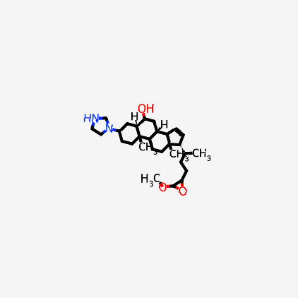 COC1OC1CCC(C)[C@H]1C=CC2[C@H]3CC(O)[C@@H]4CC(N5CCNC5)CCC4(C)C3CCC21C